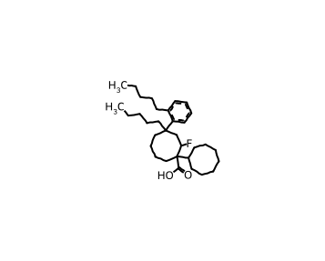 CCCCCc1ccccc1C1(CCCCC)CCCCC(C(=O)O)(C2CCCCCCC2)C(F)C1